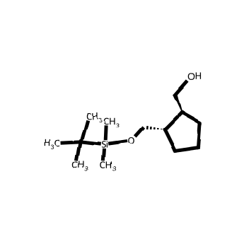 CC(C)(C)[Si](C)(C)OC[C@H]1CCC[C@@H]1CO